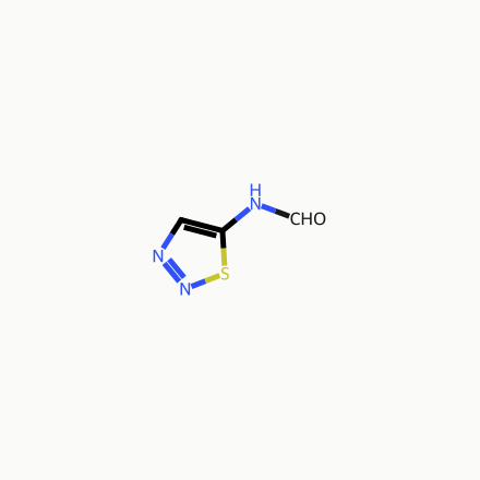 O=CNc1cnns1